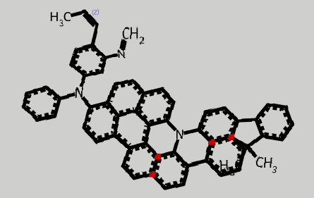 C=Nc1cc(N(c2ccccc2)c2ccc3c4ccccc4c4c(N(c5ccc6c(c5)C(C)(C)c5ccccc5-6)c5ccccc5-c5ccccc5)ccc5ccc2c3c54)ccc1/C=C\C